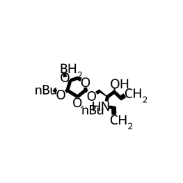 BOC1COC(OC[C@H](NC=C)[C@H](O)C=C)C(OCCCC)C1OCCCC